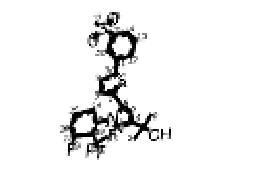 CC(C)(O)c1cc(-c2ccc(-c3cccc(S(C)(=O)=O)c3)s2)n(-c2cccc(F)c2C(F)(F)F)n1